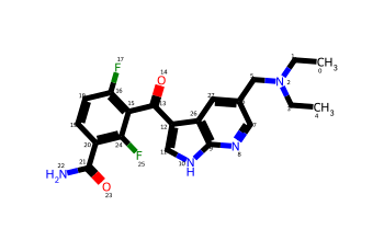 CCN(CC)Cc1cnc2[nH]cc(C(=O)c3c(F)ccc(C(N)=O)c3F)c2c1